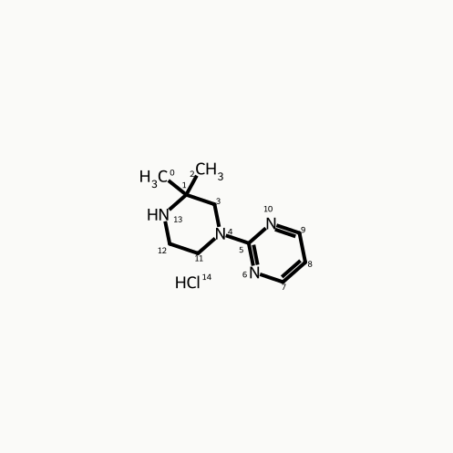 CC1(C)CN(c2ncccn2)CCN1.Cl